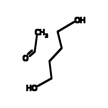 CC=O.OCCCCO